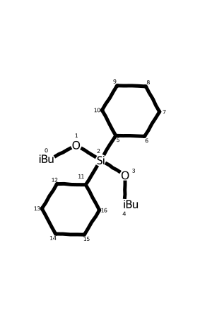 CCC(C)O[Si](OC(C)CC)(C1CCCCC1)C1CCCCC1